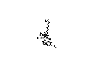 CCCCCCCCC(C)(CCCCCCC)C(C)(C)C(C)CCC